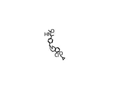 CC(=O)NC(C)c1ccc(CN2CCc3c(ccc(OCC4CC4)c3Cl)C2)cc1